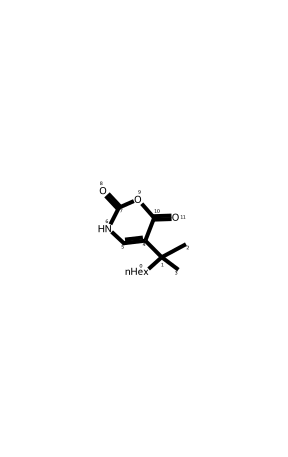 CCCCCCC(C)(C)c1c[nH]c(=O)oc1=O